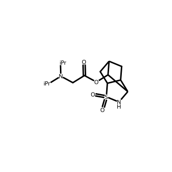 CC(C)N(CC(=O)OC1C2CC3C1NS(=O)(=O)C3C2)C(C)C